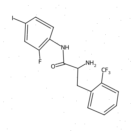 NC(Cc1ccccc1C(F)(F)F)C(=O)Nc1ccc(I)cc1F